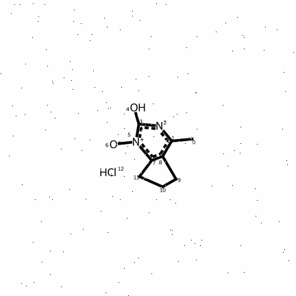 Cc1nc(O)[n+]([O-])c2c1CCC2.Cl